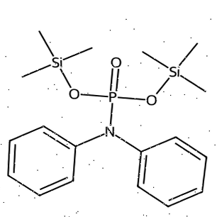 C[Si](C)(C)OP(=O)(O[Si](C)(C)C)N(c1ccccc1)c1ccccc1